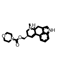 CN1C[C@H](COC(=O)N2CCOCC2)C=C2c3cccc4[nH]cc(c34)C[C@H]21